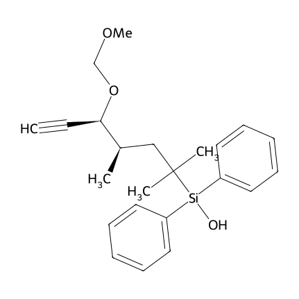 C#C[C@@H](OCOC)[C@H](C)CC(C)(C)[Si](O)(c1ccccc1)c1ccccc1